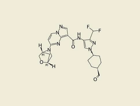 O=C[C@H]1CC[C@@H](n2cc(NC(=O)c3cnn4ccc(N5C[C@H]6C[C@@H]5CO6)nc34)c(C(F)F)n2)CC1